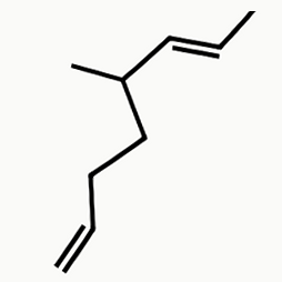 C=CCCC(C)/C=C/C